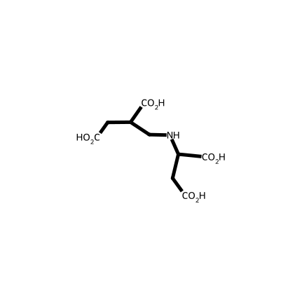 O=C(O)CC(CNC(CC(=O)O)C(=O)O)C(=O)O